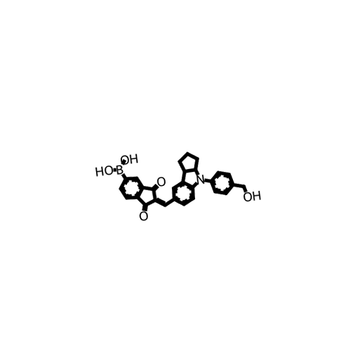 O=C1C(=Cc2ccc3c(c2)C2CCCC2N3c2ccc(CO)cc2)C(=O)c2cc(B(O)O)ccc21